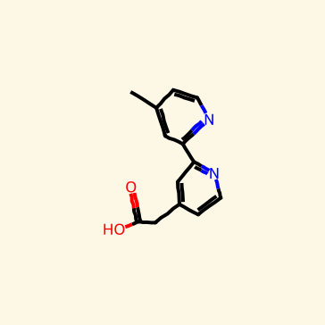 Cc1ccnc(-c2cc(CC(=O)O)ccn2)c1